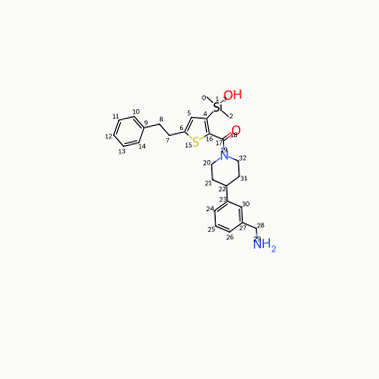 C[Si](C)(O)c1cc(CCc2ccccc2)sc1C(=O)N1CCC(c2cccc(CN)c2)CC1